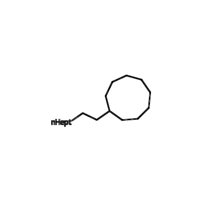 CCCCCCCCCC1CCCCCCCC1